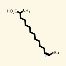 CCCC/C=C\CCCCCCCCCCC(C)C(=O)O